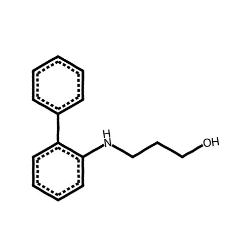 OCCCNc1ccccc1-c1ccccc1